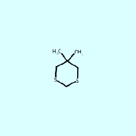 CC1(C)CSCSC1